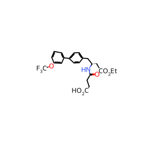 CCOC(=O)C[C@@H](Cc1ccc(-c2cccc(OC(F)(F)F)c2)cc1)NC(=O)CCC(=O)O